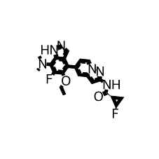 CCOc1c(F)c(N(C)C)c2[nH]ncc2c1-c1ccn2nc(NC(=O)[C@@H]3C[C@@H]3F)cc2c1